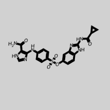 NC(=O)c1[nH]cnc1Nc1ccc(S(=O)(=O)Oc2ccc3[nH]c(NC(=O)C4CC4)nc3c2)cc1